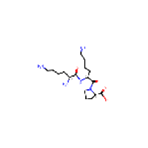 NCCCC[C@H](NC(=O)[C@@H](N)CCCCN)C(=O)N1CCC[C@H]1C(=O)O